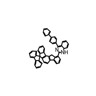 C1=CC2=C(c3ccc(-c4ccccc4)cc3)N=C(c3cccc4c3Cc3c-4ccc4c3-c3ccccc3C43c4ccccc4-c4ccccc43)NC2C=C1